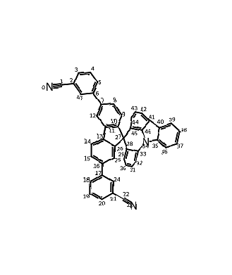 N#Cc1cccc(-c2ccc3c(c2)-c2ccc(-c4cccc(C#N)c4)cc2C32c3ccccc3-n3c4ccccc4c4cccc2c43)c1